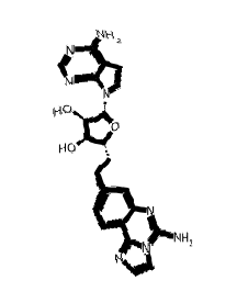 Nc1ncnc2c1ccn2[C@@H]1O[C@H](CCc2ccc3c(c2)nc(N)n2ccnc32)[C@@H](O)[C@H]1O